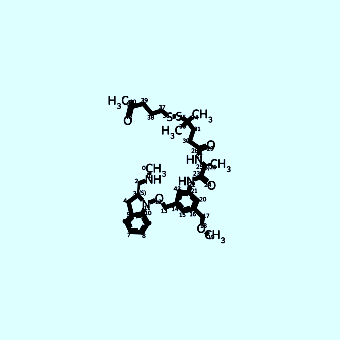 CNC[C@@H]1Cc2ccccc2N1OCc1cc(COC)cc(NC(=O)[C@H](C)NC(=O)CCC(C)(C)SSCCCC(C)=O)c1